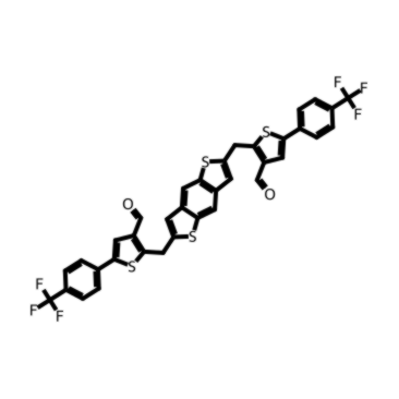 O=Cc1cc(-c2ccc(C(F)(F)F)cc2)sc1Cc1cc2cc3sc(Cc4sc(-c5ccc(C(F)(F)F)cc5)cc4C=O)cc3cc2s1